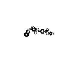 O=C(OC1COC1)N1CCC(COc2coc(CN3Cc4ccccc4C3)cc2=O)CC1